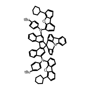 CC(C)(C)c1ccc(N(c2cc3c(c4ccccc24)-c2c(cc(N(c4ccc(C(C)(C)C)cc4)c4cccc5c4oc4c(C6CCCCC6)cccc45)c4ccccc24)C32c3ccccc3-n3c4ccccc4c4cccc2c43)c2cccc3c2oc2c(C4CCCCC4)cccc23)cc1